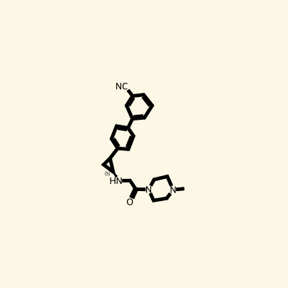 CN1CCN(C(=O)CN[C@H]2CC2c2ccc(-c3cccc(C#N)c3)cc2)CC1